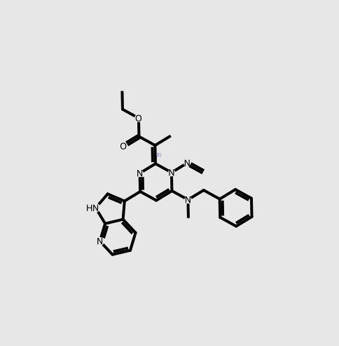 C=NN1C(N(C)Cc2ccccc2)=CC(c2c[nH]c3ncccc23)=N/C1=C(/C)C(=O)OCC